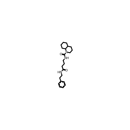 O=C(CCCNC(=O)N1CCCC2CCCCC21)NCCc1ccccc1